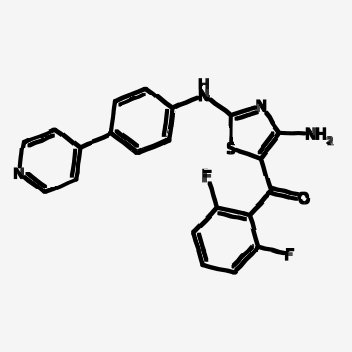 Nc1nc(Nc2ccc(-c3ccncc3)cc2)sc1C(=O)c1c(F)cccc1F